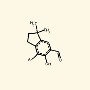 CC1(C)CCc2c1cc(C=O)c(O)c2Br